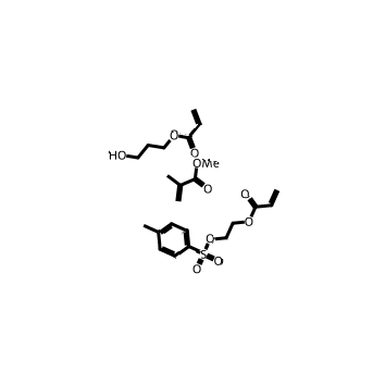 C=C(C)C(=O)OC.C=CC(=O)OCCCO.C=CC(=O)OCCOS(=O)(=O)c1ccc(C)cc1